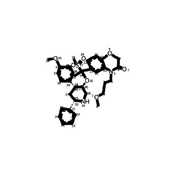 COCCCN1C(=O)COc2ccc(C(C)(O[C@H]3CN[C@H](c4ccccc4)C[C@@H]3c3ccc(OC)cc3)S(C)(=O)=O)cc21